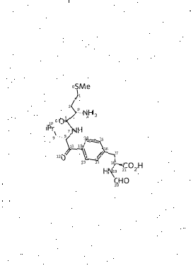 CSCC[C@H](N)C(=O)N[C@@H](CC(C)C)C(=O)c1ccc(C[C@H](NC=O)C(=O)O)cc1